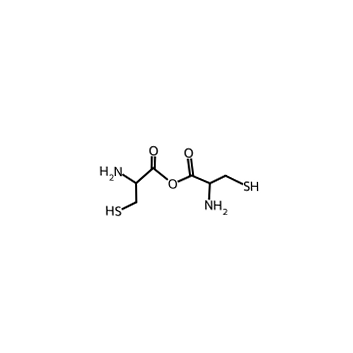 NC(CS)C(=O)OC(=O)C(N)CS